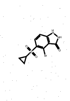 O=c1[nH][nH]c2ccc(S(=O)(=O)C3CC3)c(Br)c12